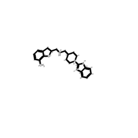 Cc1cccc2c1OC(CNCC1CCN(c3nc4ccccc4s3)CC1)C2